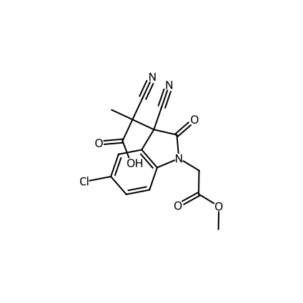 COC(=O)CN1C(=O)C(C#N)(C(C)(C#N)C(=O)O)c2cc(Cl)ccc21